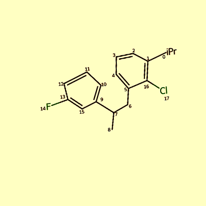 CC(C)c1cccc(CC(C)c2cccc(F)c2)c1Cl